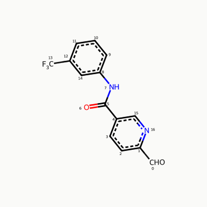 O=Cc1ccc(C(=O)Nc2cccc(C(F)(F)F)c2)cn1